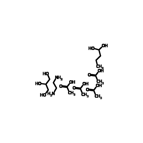 CC(=O)O.CC(=O)O.CC(=O)O.CC(=O)O.CCCC(O)O.NCCN.OCC(O)CO